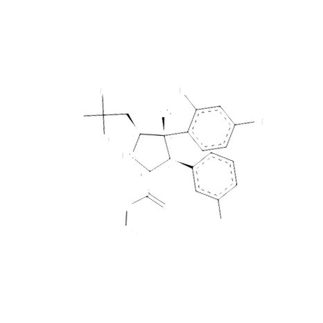 CCC(C)(CC)C[C@@H]1N[C@@H](C(=O)OC(C)(C)C)[C@H](c2cccc(Cl)c2)[C@@]1(C#N)c1ccc(Cl)cc1F